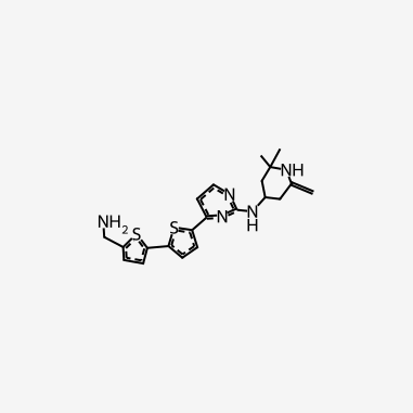 C=C1CC(Nc2nccc(-c3ccc(-c4ccc(CN)s4)s3)n2)CC(C)(C)N1